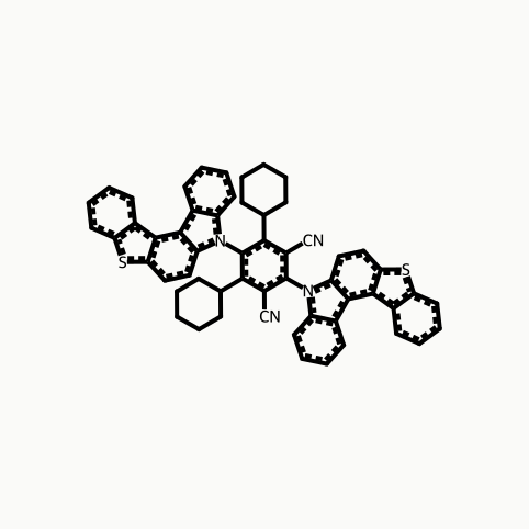 N#Cc1c(C2CCCCC2)c(-n2c3ccccc3c3c4c(ccc32)sc2ccccc24)c(C2CCCCC2)c(C#N)c1-n1c2ccccc2c2c3c(ccc21)sc1ccccc13